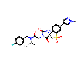 C[C@H](N(Cc1ccc(F)cc1)C(=O)CN1C(=O)N[C@@]2(CS(=O)(=O)c3cc(-c4cnn(C)c4)ccc32)C1=O)C(F)(F)F